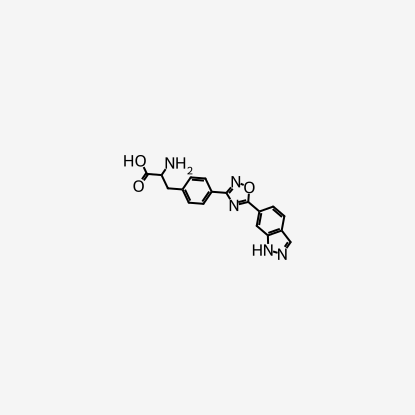 NC(Cc1ccc(-c2noc(-c3ccc4cn[nH]c4c3)n2)cc1)C(=O)O